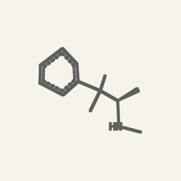 CN[C@H](C)C(C)(C)c1ccccc1